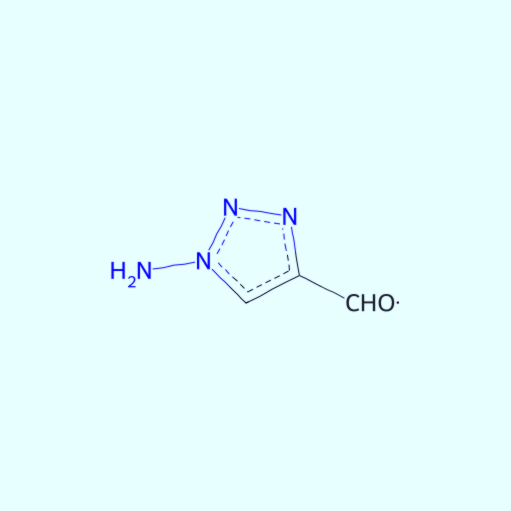 Nn1cc([C]=O)nn1